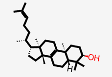 CC(C)=CCC[C@@H](C)[C@H]1CC[C@@]2(C)C3=C(CC[C@]12C)[C@@]1(C)CC[C@@H](O)C(C)(C)[C@@H]1CC3